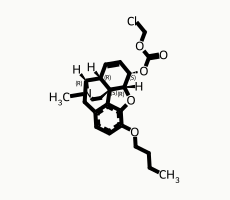 CCCCOc1ccc2c3c1O[C@H]1[C@@H](OC(=O)OCCl)C=C[C@H]4[C@@H](C2)N(C)CC[C@@]341